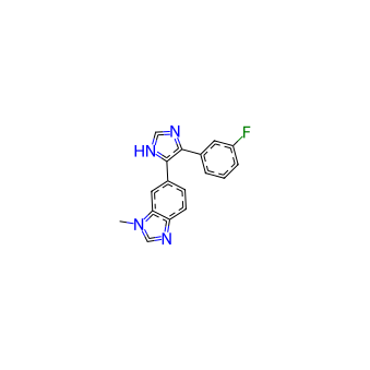 Cn1cnc2ccc(-c3[nH]cnc3-c3cccc(F)c3)cc21